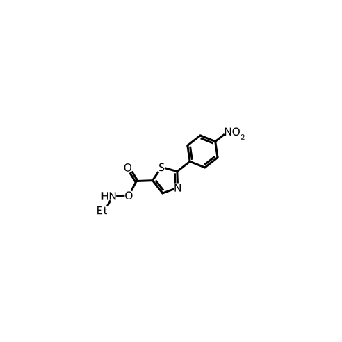 CCNOC(=O)c1cnc(-c2ccc([N+](=O)[O-])cc2)s1